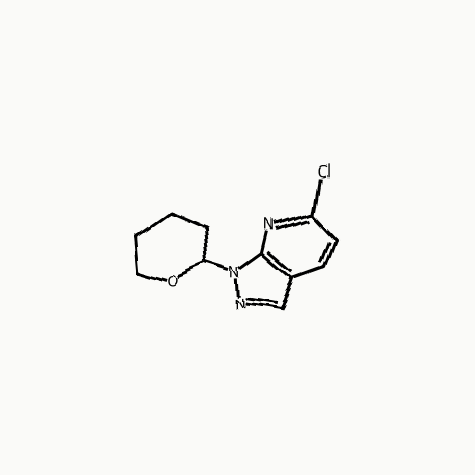 Clc1ccc2cnn(C3CCCCO3)c2n1